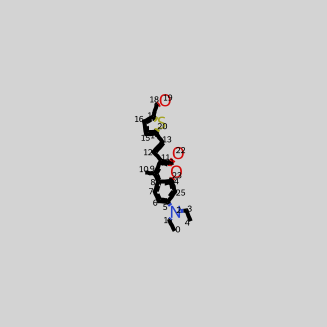 CCN(CC)c1ccc2c(C)c(/C=C/c3ccc(C=O)s3)c(=O)oc2c1